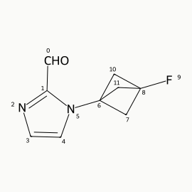 O=Cc1nccn1C12CC(F)(C1)C2